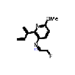 C=CC(=C)c1nc(OC)ccc1/N=C\CF